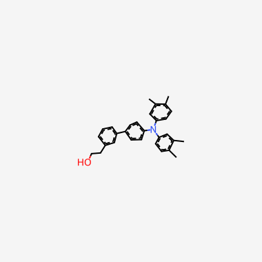 Cc1ccc(N(c2ccc(-c3cccc(CCO)c3)cc2)c2ccc(C)c(C)c2)cc1C